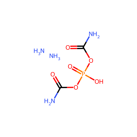 N.N.NC(=O)OP(=O)(O)OC(N)=O